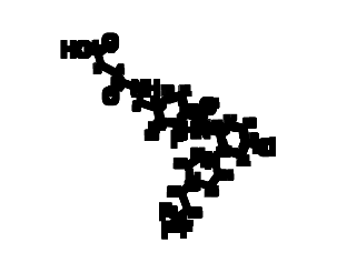 O=C(O)CCC(=O)NCc1ccc(C(=O)Nc2ccc(Cl)cc2N2CCN(CCC(F)(F)F)CC2)c(F)c1F